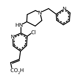 O=C(O)C=Cc1cnc(NC2CCN(Cc3ccccn3)CC2)c(Cl)c1